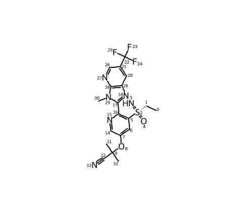 CC[S@](=N)(=O)c1cc(OC(C)(C)C#N)cnc1-c1nc2cc(C(F)(F)F)cnc2n1C